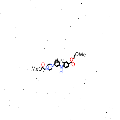 COCCOC(=O)c1ccc(Nc2cccc(N3CCN(CC(=O)OC)CC3)c2)c([N+](=O)[O-])c1